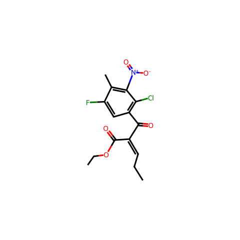 CCC=C(C(=O)OCC)C(=O)c1cc(F)c(C)c([N+](=O)[O-])c1Cl